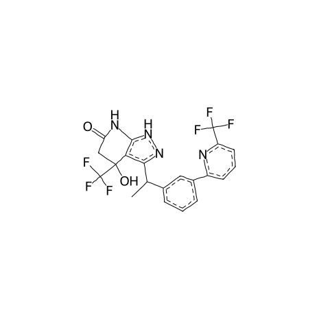 CC(c1cccc(-c2cccc(C(F)(F)F)n2)c1)c1n[nH]c2c1C(O)(C(F)(F)F)CC(=O)N2